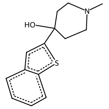 CN1CCC(O)(c2cc3ccccc3s2)CC1